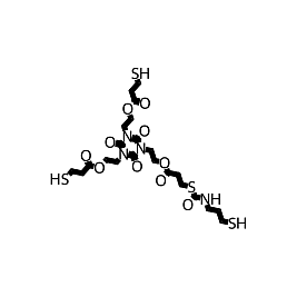 O=C(CCS)OCCn1c(=O)n(CCOC(=O)CCS)c(=O)n(CCOC(=O)CCSC(=O)NCCCS)c1=O